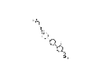 CCCCC[SiH]1CCC(c2ccc(-c3ccc(OC)cc3F)cc2)CC1